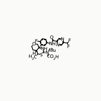 CC1S[C@@H](N(C(=O)O)C(C)(C)C)N[C@@]2(c3cc(NC(=O)c4cnc(C(F)F)cn4)ccc3F)COCC[C@@H]12